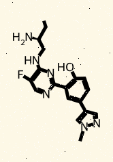 CC[C@H](N)CNc1nc(-c2cc(-c3cnn(C)c3)ccc2O)ncc1F